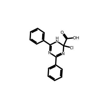 O=C(O)C1(Cl)N=C(c2ccccc2)N=C(c2ccccc2)N1